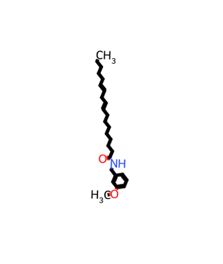 CCCCCC=CCC=CCCCCCCCC(=O)NCc1cccc(OC)c1